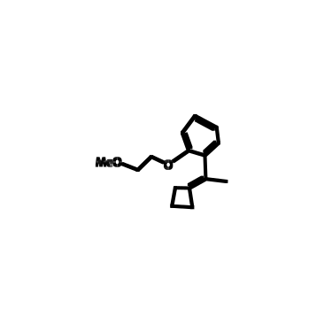 COCCOc1ccccc1C(C)=C1CCC1